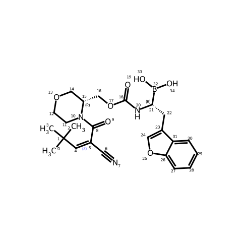 CC(C)(C)/C=C(/C#N)C(=O)N1CCOC[C@@H]1COC(=O)N[C@@H](Cc1coc2ccccc12)B(O)O